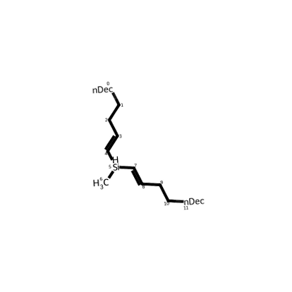 CCCCCCCCCCCCC=C[SiH](C)C=CCCCCCCCCCCCC